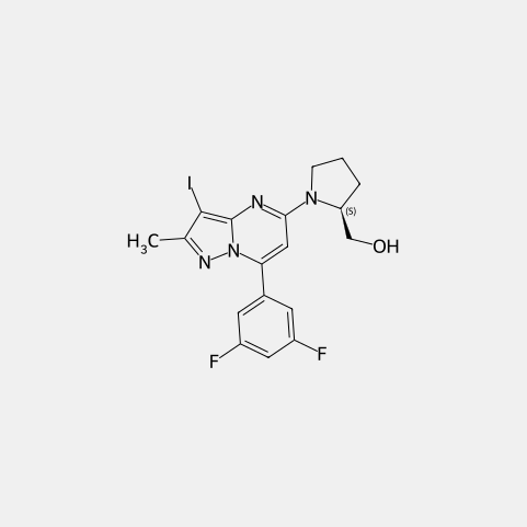 Cc1nn2c(-c3cc(F)cc(F)c3)cc(N3CCC[C@H]3CO)nc2c1I